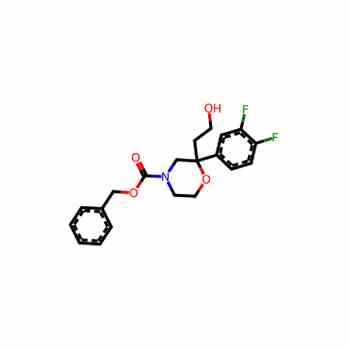 O=C(OCc1ccccc1)N1CCOC(CCO)(c2ccc(F)c(F)c2)C1